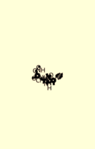 C=CC(=O)Nc1cc(N2CCN(C)CC2)cc(C)c1Nc1ncc(CNc2cc(C(=O)NOC)cc(OC)c2Cl)cn1